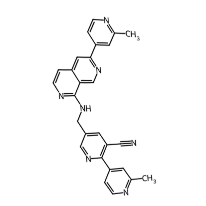 Cc1cc(-c2cc3ccnc(NCc4cnc(-c5ccnc(C)c5)c(C#N)c4)c3cn2)ccn1